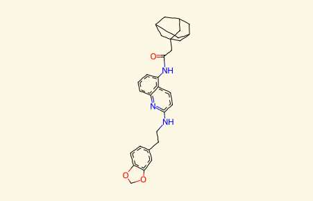 O=C(CC12CC3CC(CC(C3)C1)C2)Nc1cccc2nc(NCCc3ccc4c(c3)OCO4)ccc12